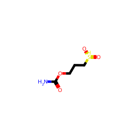 NC(=O)OCCC[SH](=O)=O